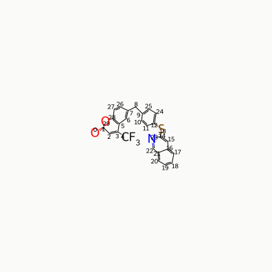 O=c1cc(C(F)(F)F)c2cc(Cc3ccc(Sc4cc5ccccc5cn4)cc3)ccc2o1